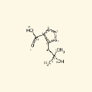 CC(C)(O)Cc1sccc1C(=O)O